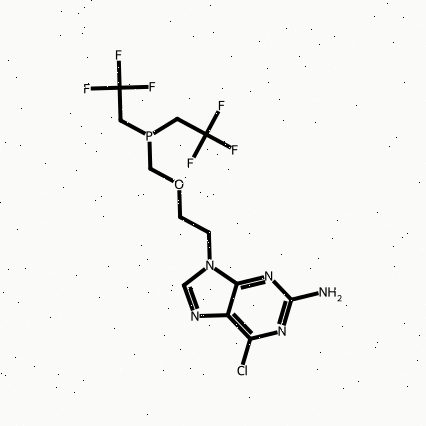 Nc1nc(Cl)c2ncn(CCOCP(CC(F)(F)F)CC(F)(F)F)c2n1